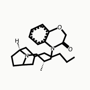 CCCCCC1CC2CC[C@@H](C1)N2C[C@@H](C)CN1C(=O)COc2ccccc21